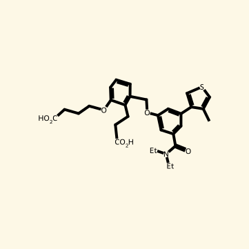 CCN(CC)C(=O)c1cc(OCc2cccc(OCCCC(=O)O)c2CCC(=O)O)cc(-c2cscc2C)c1